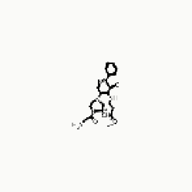 CCOCCCNc1c(N2CCN(C(=O)CN)[C@@H](C)C2)cnn(-c2ccccc2)c1=O